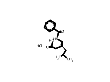 CC(C)C[C@H](CNC(=O)c1ccccc1)CC(=O)O.Cl